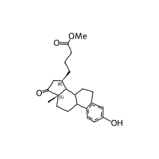 COC(=O)CCC[C@@H]1CC(=O)[C@@]2(C)CCC3c4ccc(O)cc4CCC3C12